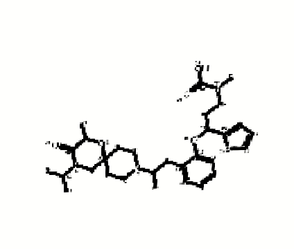 CC1OC2(CCN(C(C)Cc3ccccc3OC(CCN(C)C(=O)O)c3cccs3)CC2)CN(C(C)C)C1=O